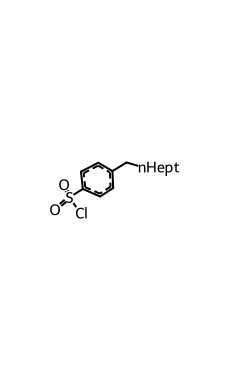 CCCCCCCCc1ccc(S(=O)(=O)Cl)cc1